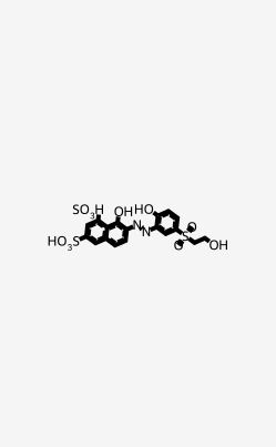 O=S(=O)(O)c1cc(S(=O)(=O)O)c2c(O)c(/N=N/c3cc(S(=O)(=O)CCO)ccc3O)ccc2c1